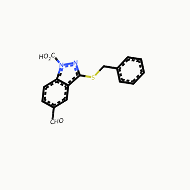 O=Cc1ccc2c(c1)c(SCc1ccccc1)nn2C(=O)O